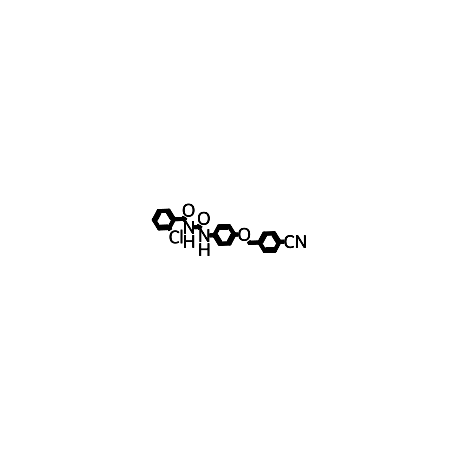 N#Cc1ccc(COc2ccc(NC(=O)NC(=O)c3ccccc3Cl)cc2)cc1